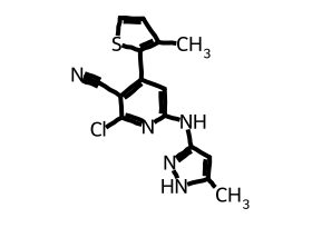 Cc1cc(Nc2cc(-c3sccc3C)c(C#N)c(Cl)n2)n[nH]1